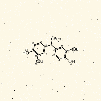 CCCCCC(c1ccc(O)c(C(C)(C)C)c1)c1ccc(O)c(C(C)(C)C)c1